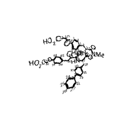 CNC(=O)[C@H](Cc1ccc(OCC(=O)O)cc1)NC(=O)[C@H](Cc1ccc(-c2ccccc2)cc1)NC(=O)[C@@H](C)Cc1ccc(OCC(=O)O)cc1